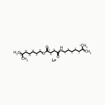 CC(C)CCCCCNC(=O)CCC(=O)OCCCCCC(C)C.[La]